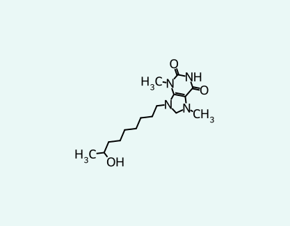 CC(O)CCCCCCCN1CN(C)c2c1n(C)c(=O)[nH]c2=O